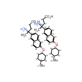 CC(N)(CCC(=O)O)c1ccc2cc(O[C@H]3CC[C@H](C(C)(C)C)CC3)ccc2c1.CC(N)(CCC(=O)O)c1ccc2cc(O[C@H]3CC[C@H](C(C)(C)C)CC3)ccc2c1